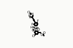 COc1c(COC(C)=O)cc(Cl)cc1S(=O)(=O)Nc1ccc(F)c(C#Cc2cnc(Cl)nn2)c1F